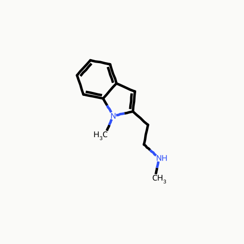 CNCCc1cc2ccccc2n1C